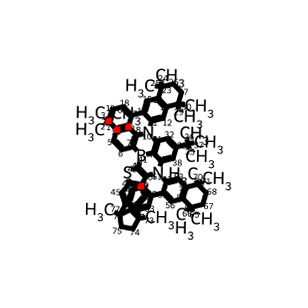 CC(C)(C)c1ccc2c(c1)N(c1cc3c(cc1-c1ccccc1)C(C)(C)CCC3(C)C)c1cc(C(C)(C)C)cc3c1B2c1sc2cc4c(cc2c1N3c1cc2c(cc1-c1ccccc1)C(C)(C)CCC2(C)C)C1(C)CCC4(C)C1